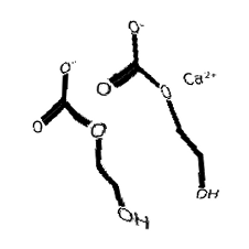 O=C([O-])OCCO.O=C([O-])OCCO.[Ca+2]